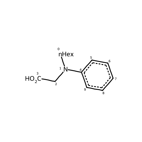 CCCCCCN(CC(=O)O)c1ccccc1